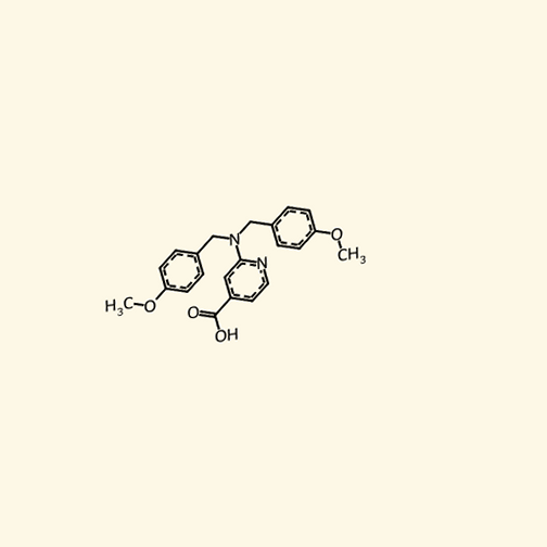 COc1ccc(CN(Cc2ccc(OC)cc2)c2cc(C(=O)O)ccn2)cc1